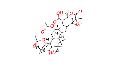 CC(=O)O[C@H]1C[C@H]2[C@@H]([C@@H]3C[C@@H]3[C@@]3(O)C[C@@H]4C[C@@H]4[C@H](OC(C)=O)[C@]23C)[C@@H]2CC3C(C(C(=O)O)[C@H]4CC3(C)C(C)(O)C(=O)O4)[C@@]12C